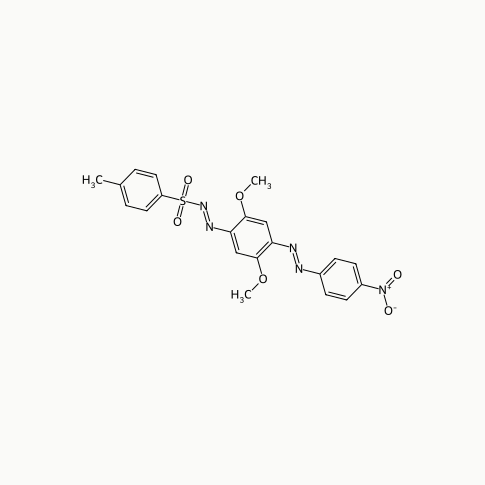 COc1cc(N=NS(=O)(=O)c2ccc(C)cc2)c(OC)cc1N=Nc1ccc([N+](=O)[O-])cc1